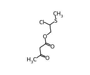 CSC(Cl)COC(=O)CC(C)=O